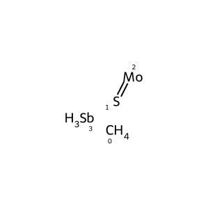 C.[S]=[Mo].[SbH3]